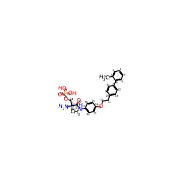 Cc1ccccc1-c1ccc(CCOc2ccc(NC(=O)[C@@](C)(N)COP(=O)(O)O)cc2)cc1